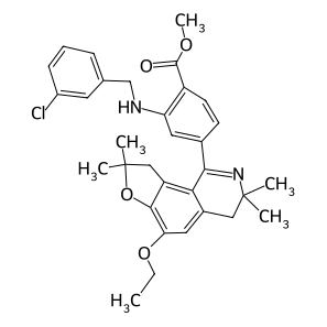 CCOc1cc2c(c3c1OC(C)(C)C3)C(c1ccc(C(=O)OC)c(NCc3cccc(Cl)c3)c1)=NC(C)(C)C2